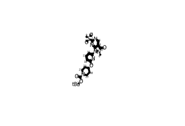 Cn1c(=O)c2cnc(S(C)(=O)=O)nc2n1-c1cccc(OC2CCN(C(=O)OC(C)(C)C)CC2)n1